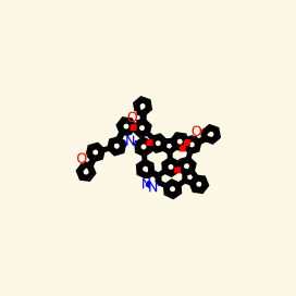 c1cc(-c2nnc3ccc(-c4cccc(-n5c6ccccc6c6cc(-c7ccc8oc9ccccc9c8c7)ccc65)c4)cc3c2-c2cccc(C3c4ccccc4-c4cc(-c5ccc6oc7ccccc7c6c5)ccc43)c2)cc(C2c3ccccc3-c3cc(-c4ccc5oc6ccccc6c5c4)ccc32)c1